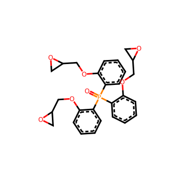 O=P(c1ccccc1OCC1CO1)(c1ccccc1OCC1CO1)c1ccccc1OCC1CO1